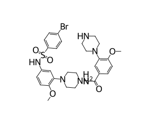 COc1ccc(C(N)=O)cc1N1CCNCC1.COc1ccc(NS(=O)(=O)c2ccc(Br)cc2)cc1N1CCNCC1